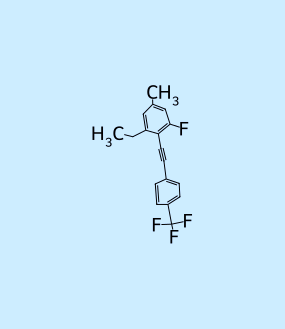 CCc1cc(C)cc(F)c1C#Cc1ccc(C(F)(F)F)cc1